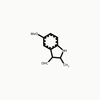 COc1ccc2c(c1)C(C=O)C(C)N2